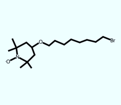 CC1(C)CC(OCCCCCCCCBr)CC(C)(C)N1[O]